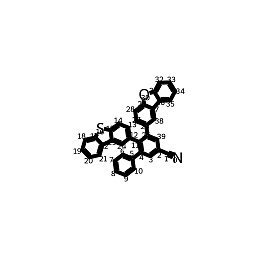 N#Cc1cc(-c2ccccc2)c(-c2ccc3sc4ccccc4c3c2)c(-c2ccc3oc4ccccc4c3c2)c1